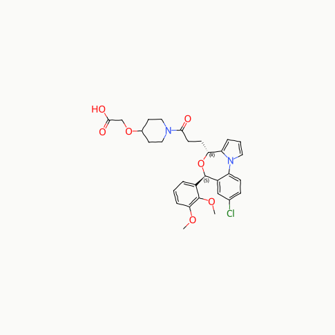 COc1cccc([C@H]2O[C@H](CCC(=O)N3CCC(OCC(=O)O)CC3)c3cccn3-c3ccc(Cl)cc32)c1OC